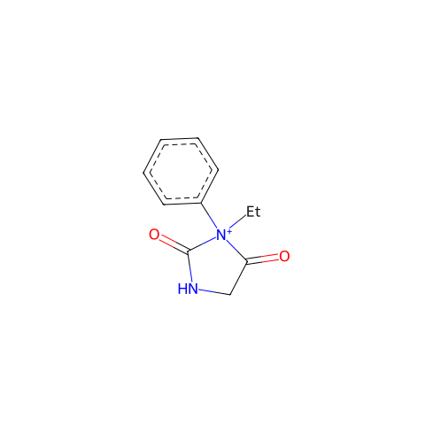 CC[N+]1(c2ccccc2)C(=O)CNC1=O